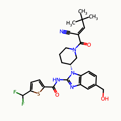 CC(C)(C)/C=C(\C#N)C(=O)N1CCC[C@@H](n2c(NC(=O)c3ccc(C(F)F)s3)nc3cc(CO)ccc32)C1